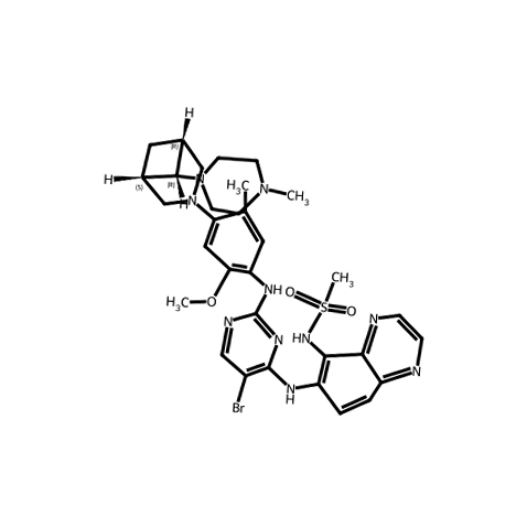 COc1cc(N2C[C@H]3C[C@@H](C2)[C@H]3N2CCN(C)CC2)c(C)cc1Nc1ncc(Br)c(Nc2ccc3nccnc3c2NS(C)(=O)=O)n1